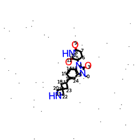 Cn1c(=O)n(C2CCC(=O)NC2=O)c2ccc(C3CC4(CNC4)C3)cc21